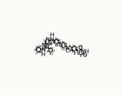 CN(Cc1ccc(N2CCC(=O)NC2=O)cc1)C1CCN(c2ccc(Nc3ncc4nc(Nc5ccccc5)n(C5CCCC5)c4n3)cc2)CC1